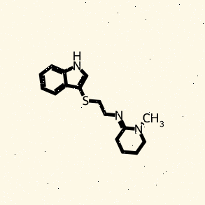 CN1CCCC/C1=N\CCSc1c[nH]c2ccccc12